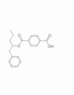 CCCC(Cc1ccccc1)OC(=O)c1ccc(C(=O)O)cc1